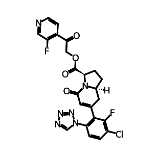 O=C(COC(=O)[C@H]1CC[C@H]2CC(c3c(-n4cnnn4)ccc(Cl)c3F)=CC(=O)N21)c1ccncc1F